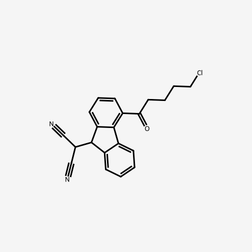 N#CC(C#N)C1c2ccccc2-c2c(C(=O)CCCCCl)cccc21